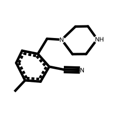 Cc1ccc(CN2CCNCC2)c(C#N)c1